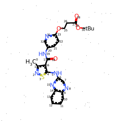 Cc1nsc(Nc2cnc3ccccc3n2)c1C(=O)Nc1ccc(OCCC(=O)OC(C)(C)C)nc1